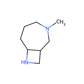 CN1CCCC2NCC2C1